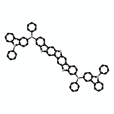 c1ccc(N(c2ccc3c(c2)sc2cc4c(cc23)sc2cc3c(cc24)sc2cc(N(c4ccccc4)c4ccc5c(c4)c4ccccc4n5-c4ccccc4)ccc23)c2ccc3c(c2)c2ccccc2n3-c2ccccc2)cc1